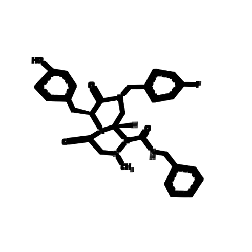 CN1CC(=O)N2[C@@H](Cc3ccc(O)cc3)C(=O)N(Cc3ccc(F)cc3)C[C@@H]2N1C(=O)NCc1ccccc1